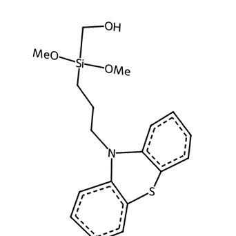 CO[Si](CO)(CCCN1c2ccccc2Sc2ccccc21)OC